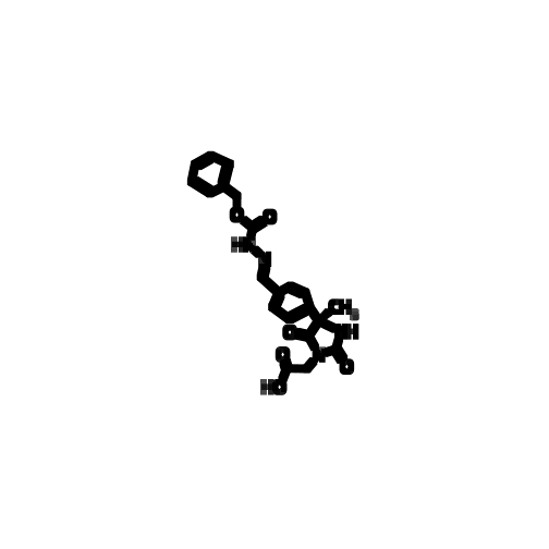 C[C@@]1(c2ccc(C=NNC(=O)OCc3ccccc3)cc2)NC(=O)N(CC(=O)O)C1=O